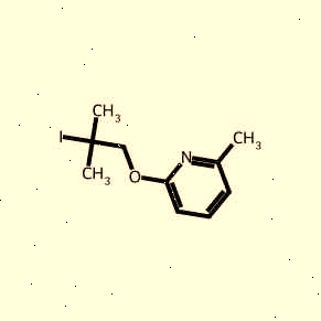 Cc1cccc(OCC(C)(C)I)n1